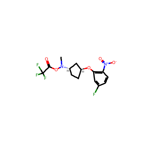 CN(OC(=O)C(F)(F)F)[C@H]1CC[C@H](Oc2cc(F)ccc2[N+](=O)[O-])C1